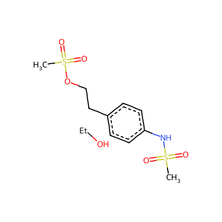 CCO.CS(=O)(=O)Nc1ccc(CCOS(C)(=O)=O)cc1